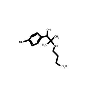 CC(C)(C)c1ccc(C(O)C(C)(C)NCCCS(=O)(=O)O)cc1